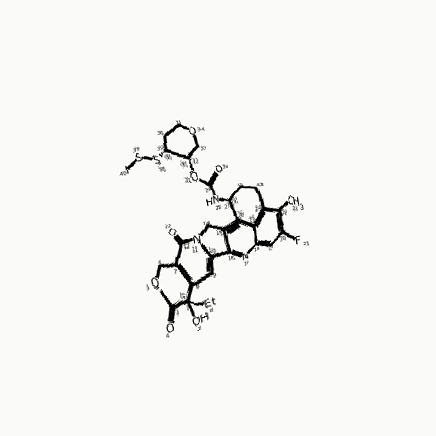 CC[C@@]1(O)C(=O)OCc2c1cc1n(c2=O)Cc2c-1nc1cc(F)c(C)c3c1c2[C@@H](NC(=O)O[C@@H]1COCC[C@H]1SSI)CC3